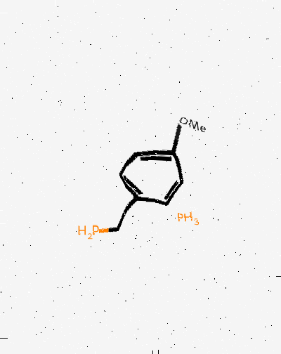 COc1ccc(CP)cc1.P